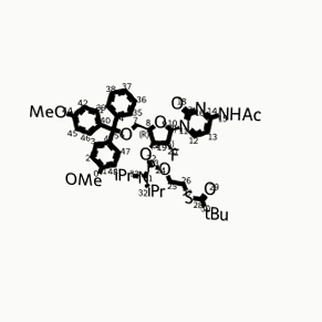 COc1ccc(C(OC[C@H]2O[C@@H](n3ccc(NC(C)=O)nc3=O)[C@@H](F)[C@H]2OP(OCCSC(=O)C(C)(C)C)N(C(C)C)C(C)C)(c2ccccc2)c2ccc(OC)cc2)cc1